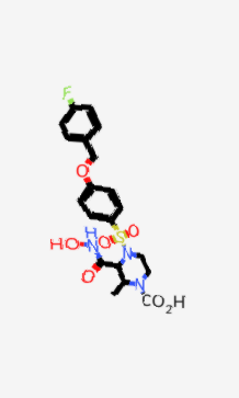 CC1C(C(=O)NO)N(S(=O)(=O)c2ccc(OCc3ccc(F)cc3)cc2)CCN1C(=O)O